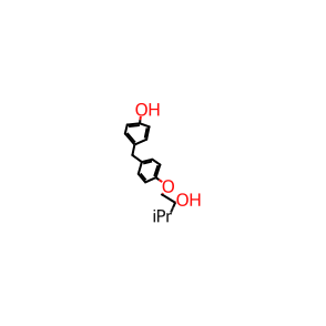 CC(C)C(O)COc1ccc(Cc2ccc(O)cc2)cc1